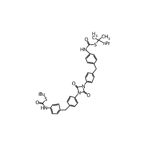 CCCC(C)(C)SC(=O)Nc1ccc(Cc2ccc(N3C(=O)N(c4ccc(Cc5ccc(NC(=O)SC(C)CC)cc5)cc4)C3=O)cc2)cc1